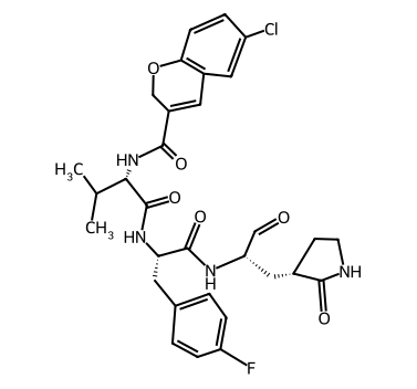 CC(C)[C@H](NC(=O)C1=Cc2cc(Cl)ccc2OC1)C(=O)N[C@@H](Cc1ccc(F)cc1)C(=O)N[C@H](C=O)C[C@@H]1CCNC1=O